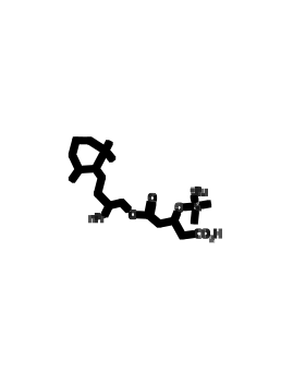 CCCC(CCC1C(C)CCCC1(C)C)COC(=O)CC(CC(=O)O)O[Si](C)(C)C(C)(C)C